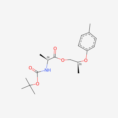 Cc1ccc(O[C@@H](C)COC(=O)[C@H](C)NC(=O)OC(C)(C)C)cc1